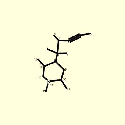 CC#CC(C)C(C)(C)C1CC(C)N(C)CC1C